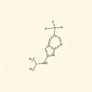 CC(C)Nc1nc2ccc(C(F)(F)F)cc2s1